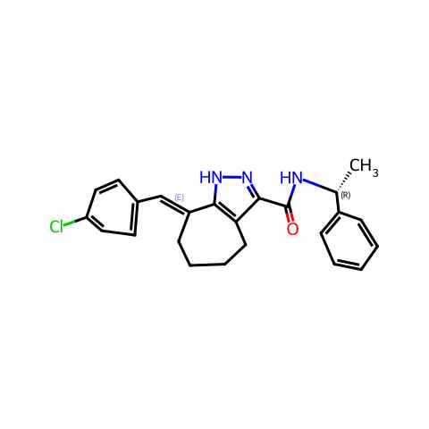 C[C@@H](NC(=O)c1n[nH]c2c1CCCC/C2=C\c1ccc(Cl)cc1)c1ccccc1